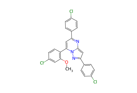 COc1cc(Cl)ccc1-c1cc(-c2ccc(Cl)cc2)nc2cc(-c3ccc(Cl)cc3)nn12